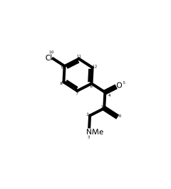 C=C(CNC)C(=O)c1ccc(Cl)cc1